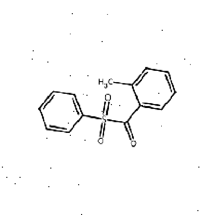 Cc1ccccc1C(=O)S(=O)(=O)c1ccccc1